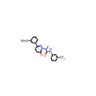 COc1cccc(-c2ccc(=O)n(C(C)C(=O)Nc3cccc(C(F)(F)F)c3)n2)c1